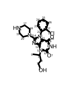 CC(CCO)n1c(=O)[nH]c(=O)c2c1nc(N1CCNCC1)n2-c1ccccc1Cl